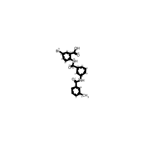 Cc1cccc(C(=O)Nc2cccc(C(=O)Nc3ccc(Br)cc3C(=O)O)c2)c1